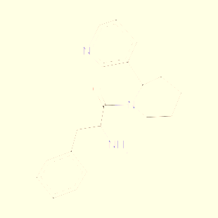 NC(Cc1ccccc1)C(=O)N1CCCCC1c1cccnc1